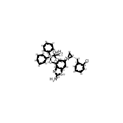 CC(C)(C)[Si](Oc1cc(N2C[C@@H]2Cc2ccccc2Cl)cc2sc(N)nc12)(c1ccccc1)c1ccccc1